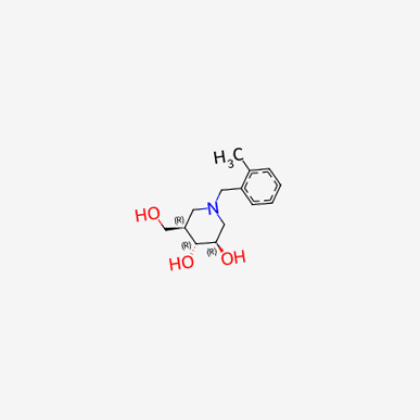 Cc1ccccc1CN1C[C@H](CO)[C@@H](O)[C@H](O)C1